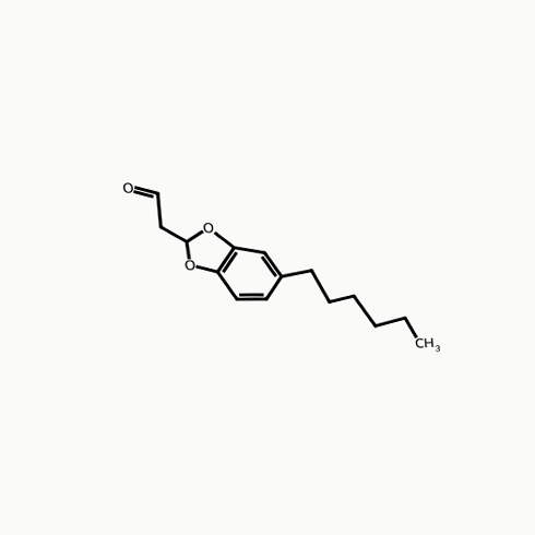 CCCCCCc1ccc2c(c1)OC(CC=O)O2